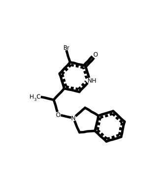 CC(ON1Cc2ccccc2C1)c1c[nH]c(=O)c(Br)c1